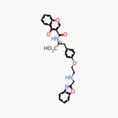 O=C(N[C@@H](Cc1ccc(OCCNCc2nc3ccccc3o2)cc1)C(=O)O)c1coc2ccccc2c1=O